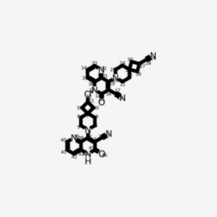 N#Cc1c(N2CCC3(CC2)CC(On2c(=O)c(C#N)c(N4CCC5(CC4)CC(C#N)C5)c4ncccc42)C3)c2ncccc2[nH]c1=O